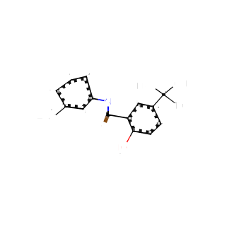 CCC(C)(C)c1ccc(O)c(C(=S)Nc2cccc(C)c2)c1